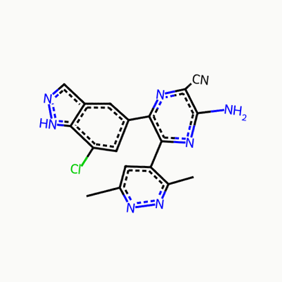 Cc1cc(-c2nc(N)c(C#N)nc2-c2cc(Cl)c3[nH]ncc3c2)c(C)nn1